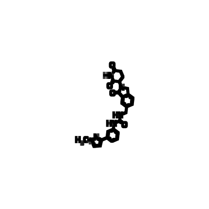 Cn1ccc(-c2cccc(NC(=O)NCc3ccc4c(c3)C(=O)N(C3CCC(=O)NC3=O)C4)c2)n1